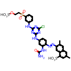 Cc1cc(S(=O)(=O)O)c2cc(/N=N/c3ccc(Nc4nc(Cl)nc(Nc5cccc(S(=O)(=O)CCOS(=O)(=O)O)c5)n4)cc3NC(N)=O)c(C)cc2c1